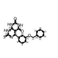 O=c1[nH]c(=O)c2c(-c3cccc(OCc4ccccc4)c3)nc(=S)[nH]c2[nH]1